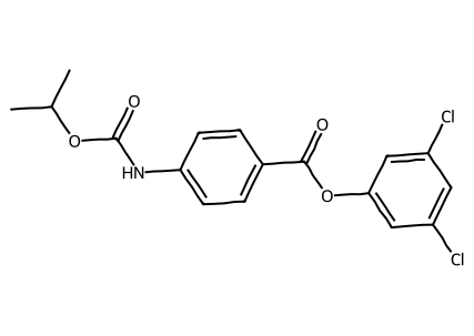 CC(C)OC(=O)Nc1ccc(C(=O)Oc2cc(Cl)cc(Cl)c2)cc1